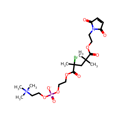 CC(C)(CC(C)(Br)C(=O)OCCOP(=O)([O-])OCC[N+](C)(C)C)C(=O)OCCN1C(=O)C=CC1=O